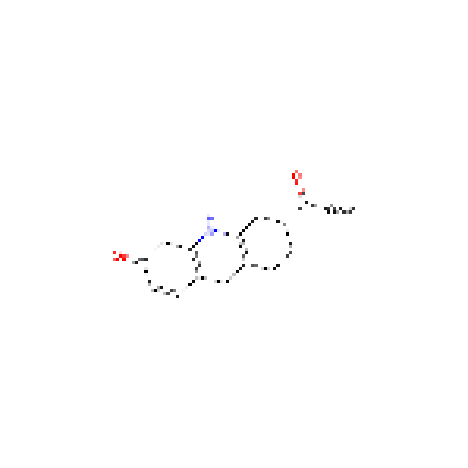 COC(=O)C1CCC2=C(C1)NC1=C(C=CC(=O)C1)C2